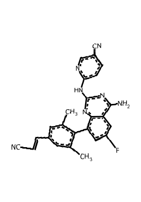 Cc1cc(/C=C/C#N)cc(C)c1-c1cc(F)cc2c(N)nc(Nc3ccc(C#N)cn3)nc12